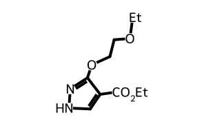 CCOCCOc1n[nH]cc1C(=O)OCC